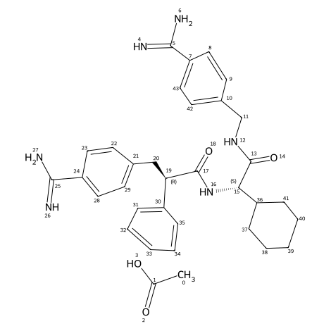 CC(=O)O.N=C(N)c1ccc(CNC(=O)[C@@H](NC(=O)[C@H](Cc2ccc(C(=N)N)cc2)c2ccccc2)C2CCCCC2)cc1